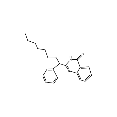 CCCCCCCC(c1ccccc1)c1nc2ccccc2c(=O)[nH]1